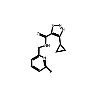 O=C(NCc1cccc(F)n1)c1snnc1C1CC1